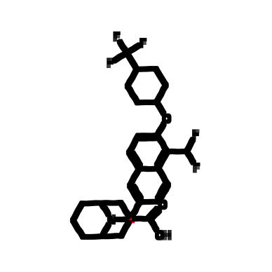 O=C(O)C1CC2CCCC(C1)N2Cc1ccc2c(C(F)F)c(OC3CCC(C(F)(F)F)CC3)ccc2c1